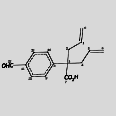 C=CCC(CC=C)(C(=O)O)c1ccc(C=O)cc1